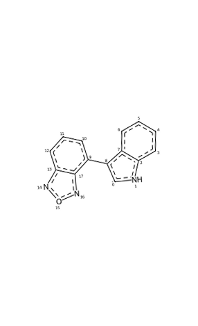 [c]1[nH]c2ccccc2c1-c1cccc2nonc12